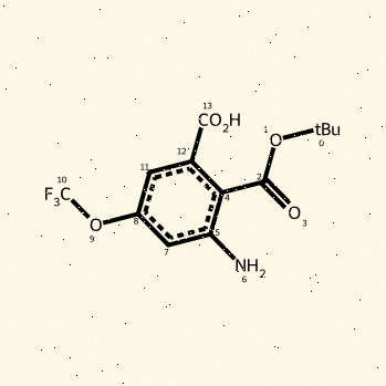 CC(C)(C)OC(=O)c1c(N)cc(OC(F)(F)F)cc1C(=O)O